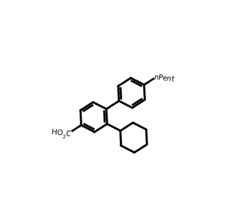 CCCCCc1ccc(-c2ccc(C(=O)O)cc2C2CCCCC2)cc1